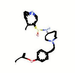 Cc1ccncc1[S@+]([O-])N[C@@H]1CCN(Cc2ccc(OC(C)C)cc2)C1